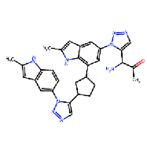 CC(=O)C(N)c1cnnn1-c1cc(C2CCC(c3cnnn3-c3ccc4[nH]c(C)cc4c3)C2)c2[nH]c(C)cc2c1